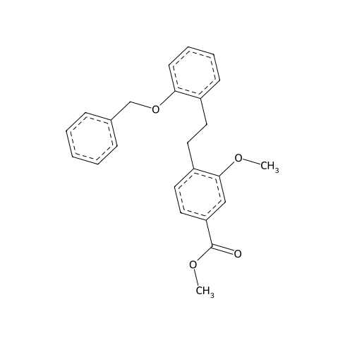 COC(=O)c1ccc(CCc2ccccc2OCc2ccccc2)c(OC)c1